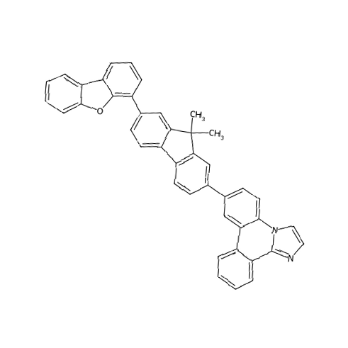 CC1(C)c2cc(-c3ccc4c(c3)c3ccccc3c3nccn43)ccc2-c2ccc(-c3cccc4c3oc3ccccc34)cc21